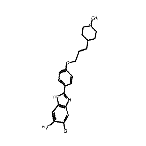 Cc1cc2[nH]c(-c3ccc(OCCCC4CCN(C)CC4)cc3)nc2cc1Cl